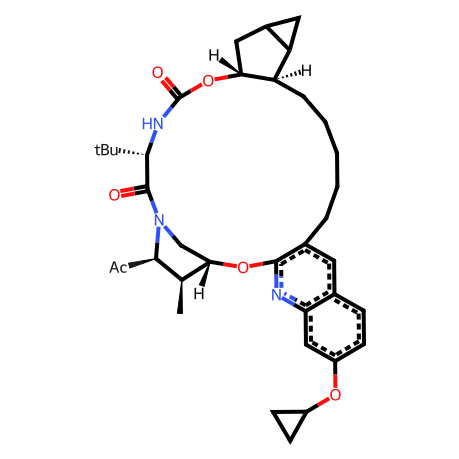 CC(=O)[C@@H]1[C@H](C)[C@@H]2CN1C(=O)[C@H](C(C)(C)C)NC(=O)O[C@@H]1CC3CC3[C@H]1CCCCCc1cc3ccc(OC4CC4)cc3nc1O2